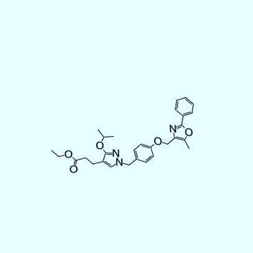 CCOC(=O)CCc1cn(Cc2ccc(OCc3nc(-c4ccccc4)oc3C)cc2)nc1OC(C)C